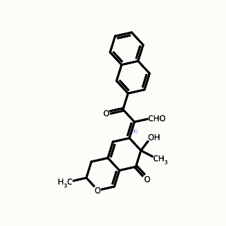 CC1CC2=C/C(=C(/C=O)C(=O)c3ccc4ccccc4c3)C(C)(O)C(=O)C2=CO1